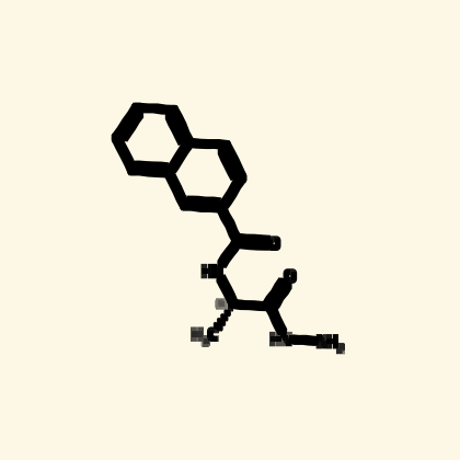 C[C@H](NC(=O)c1ccc2ccccc2c1)C(=O)NN